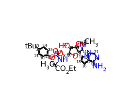 CCOC(=O)[C@H](C)NP(=O)(OC[C@H]1O[C@@](C=NC)(c2ccc3c(N)ncnn23)[C@H](O)[C@@H]1O)Oc1ccc(C(C)(C)C)cc1